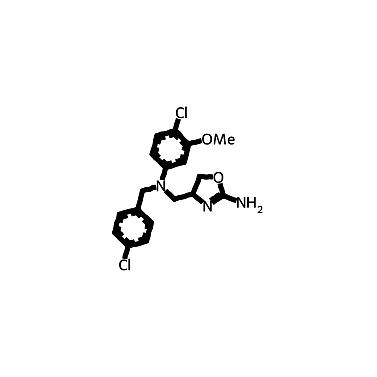 COc1cc(N(Cc2ccc(Cl)cc2)CC2COC(N)=N2)ccc1Cl